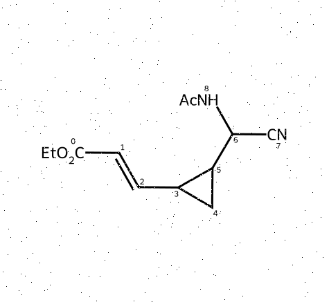 CCOC(=O)C=CC1CC1C(C#N)NC(C)=O